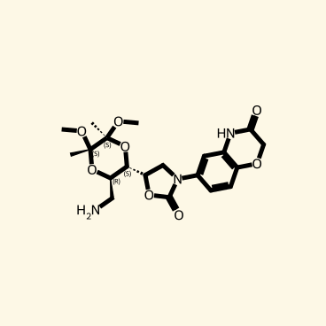 CO[C@@]1(C)O[C@H](C2CN(c3ccc4c(c3)NC(=O)CO4)C(=O)O2)[C@@H](CN)O[C@]1(C)OC